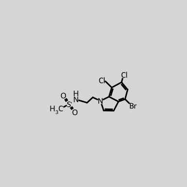 CS(=O)(=O)NCCn1ccc2c(Br)cc(Cl)c(Cl)c21